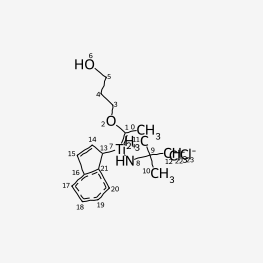 C/[C](OCCCO)=[Ti+2](\[NH]C(C)(C)C)[CH]1C=Cc2ccccc21.[Cl-].[Cl-]